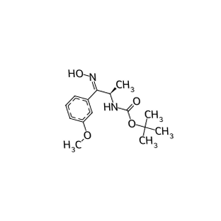 COc1cccc(/C(=N\O)[C@@H](C)NC(=O)OC(C)(C)C)c1